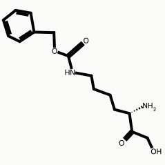 N[C@@H](CCCCNC(=O)OCc1ccccc1)C(=O)CO